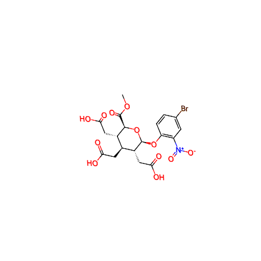 COC(=O)[C@H]1O[C@@H](Oc2ccc(Br)cc2[N+](=O)[O-])[C@H](CC(=O)O)[C@@H](CC(=O)O)[C@@H]1CC(=O)O